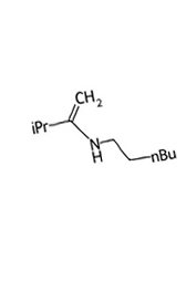 C=C(NCCCCCC)C(C)C